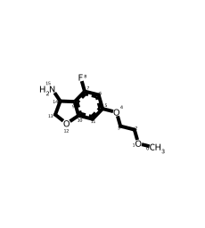 COCCOc1cc(F)c2c(c1)OCC2N